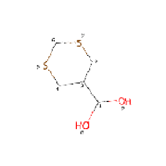 OC(O)C1CSCSC1